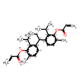 C=CC(=O)Oc1c(C)ccc(C(CC)c2ccc(C)c(OC(=O)C=C)c2C(C)C)c1C(C)C